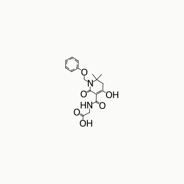 CC1(C)CC(O)=C(C(=O)NCC(=O)O)C(=O)N1COc1ccccc1